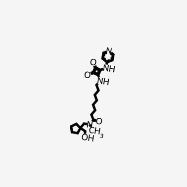 CN(CC1(CO)CCCC1)C(=O)CCCCCCCNc1c(Nc2ccncc2)c(=O)c1=O